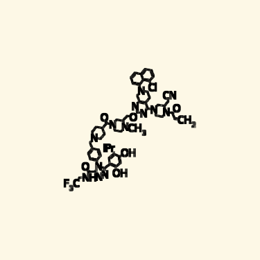 C=CC(=O)N1CCN(c2nc(OCC3CN(C(=O)C4CCN(Cc5ccc(-n6c(C(=O)NCC(F)(F)F)nnc6-c6cc(C(C)C)c(O)cc6O)cc5)CC4)CCN3C)nc3c2CCN(c2cccc4cccc(Cl)c24)C3)CC1CC#N